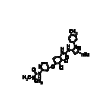 CCCCc1cc(NC(=O)Nc2ccc(Oc3ccnc(NC(=O)N(C)C)c3)c(Cl)c2Cl)n(-c2ccc(C)cc2)n1